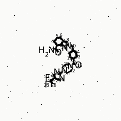 NC(=O)c1cccc2cn(Cc3ccc(C(=O)N4CCN(c5ncc(C(F)(F)F)cn5)CC4)cc3)nc12